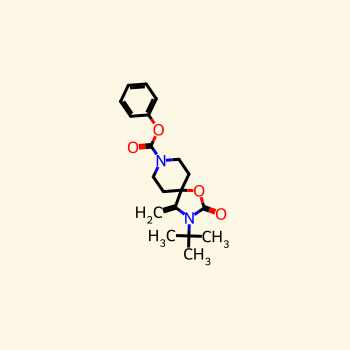 C=C1N(C(C)(C)C)C(=O)OC12CCN(C(=O)Oc1ccccc1)CC2